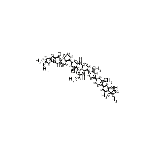 C=CC(=O)Nc1cc(Nc2cc(-c3ccnc(N4CCn5c(cc6c5CC(C)(C)C6)C4=O)c3CO)cn(C)c2=O)ncc1N1CCN(C2CCN(c3ccc4c(c3)NC(=O)C4(C)C)[C@@H](C)C2)C[C@@H]1C